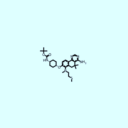 CSCCN(C)c1c(O[C@H]2CC[C@@H](NC(=O)OC(C)(C)C)CC2)ccc2c1CC(C)(C)c1c(N)ncnc1-2